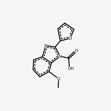 COc1cccc2nc(-c3ccco3)n(C(=O)O)c12